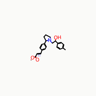 COC(=O)/C=C/c1ccc(C2CCCN2CC(O)c2ccc(C)cc2)cc1